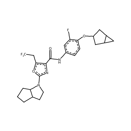 O=C(Nc1ccc(OC2CC3CC3C2)c(F)c1)c1nc(N2CCC3CCCC32)oc1CC(F)(F)F